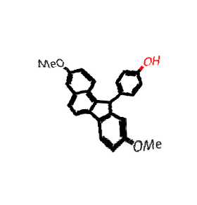 COc1ccc2c(c1)C(c1ccc(O)cc1)c1c-2ccc2cc(OC)ccc12